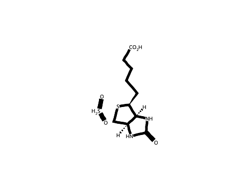 O=C(O)CCCC[C@@H]1SC[C@@H]2NC(=O)N[C@@H]21.O=[SH2]=O